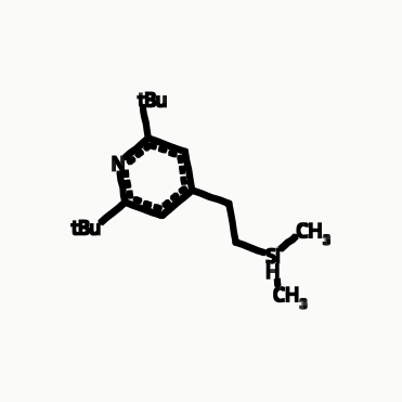 C[SiH](C)CCc1cc(C(C)(C)C)nc(C(C)(C)C)c1